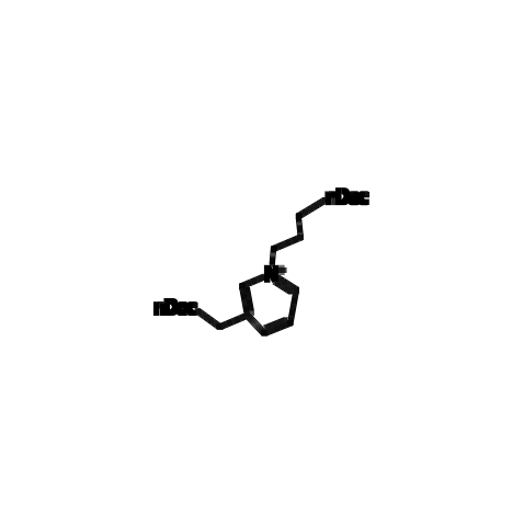 CCCCCCCCCCCCC[n+]1cccc(CCCCCCCCCCC)c1